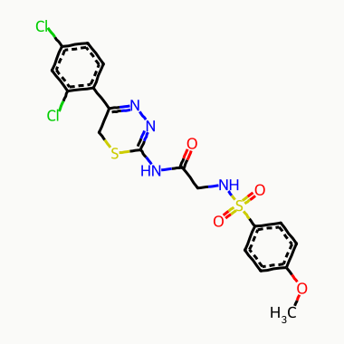 COc1ccc(S(=O)(=O)NCC(=O)NC2=NN=C(c3ccc(Cl)cc3Cl)CS2)cc1